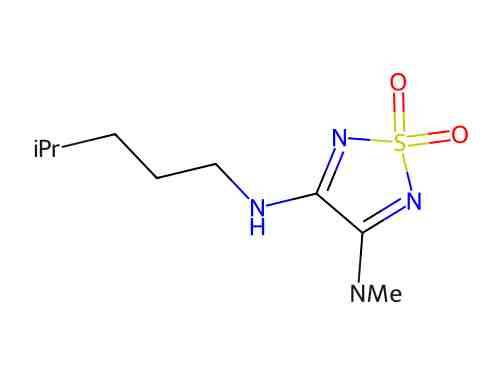 CNC1=NS(=O)(=O)N=C1NCCCC(C)C